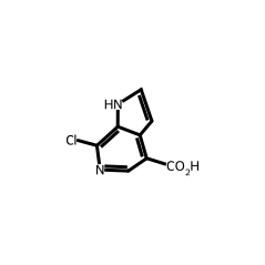 O=C(O)c1cnc(Cl)c2[nH]ccc12